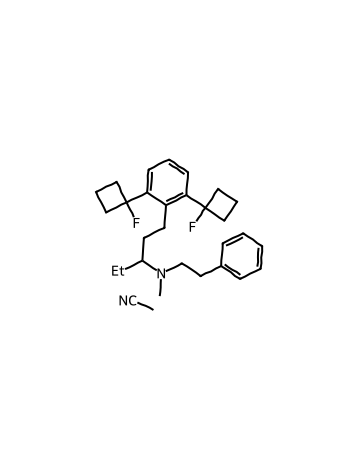 CC#N.CCC(CCc1c(C2(F)CCC2)cccc1C1(F)CCC1)N(C)CCc1ccccc1